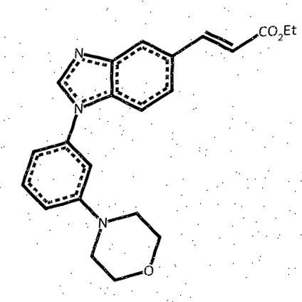 CCOC(=O)C=Cc1ccc2c(c1)ncn2-c1cccc(N2CCOCC2)c1